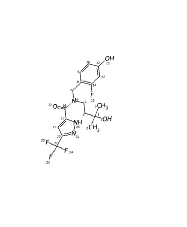 CC(C)(O)CCN(Cc1ccc(O)cc1F)C(=O)c1cc(C(F)(F)F)n[nH]1